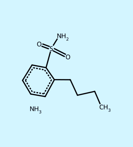 CCCCc1ccccc1S(N)(=O)=O.N